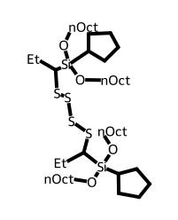 CCCCCCCCO[Si](OCCCCCCCC)(C1CCCC1)C(CC)SSSSC(CC)[Si](OCCCCCCCC)(OCCCCCCCC)C1CCCC1